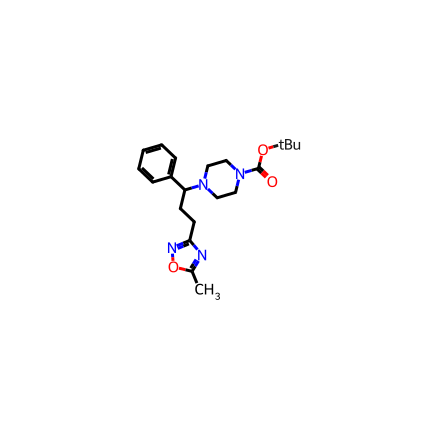 Cc1nc(CCC(c2ccccc2)N2CCN(C(=O)OC(C)(C)C)CC2)no1